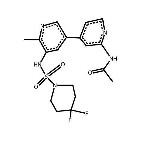 CC(=O)Nc1cc(-c2cnc(C)c(NS(=O)(=O)N3CCC(F)(F)CC3)c2)ccn1